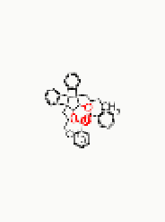 CCCCC12c3ccccc3[C@@]13c1ccccc1[C@@]3(CCCC)C(OC(=O)c1ccccc1)C2OC(=O)c1ccccc1